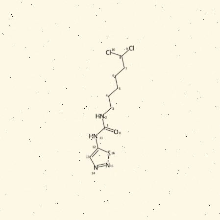 O=C(NCCCCCC(Cl)Cl)Nc1cnns1